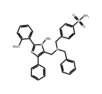 CCCCn1c(-c2ccccc2OC)nc(-c2ccccc2)c1CN(Cc1ccccc1)Cc1ccc(S(N)(=O)=O)cc1